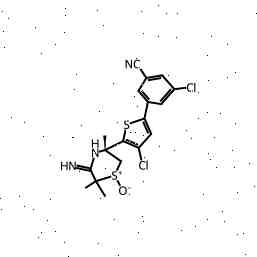 CC1(C)C(=N)N[C@](C)(c2sc(-c3cc(Cl)cc(C#N)c3)cc2Cl)C[S+]1[O-]